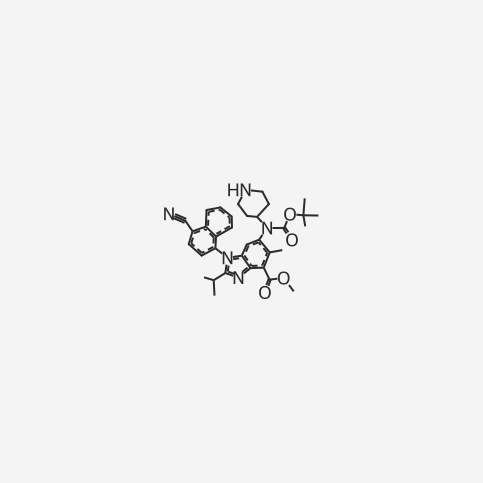 COC(=O)c1c(C)c(N(C(=O)OC(C)(C)C)C2CCNCC2)cc2c1nc(C(C)C)n2-c1ccc(C#N)c2ccccc12